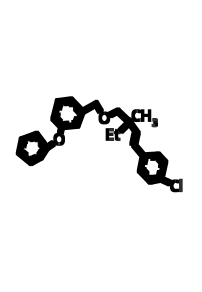 CCC(C)(C=Cc1ccc(Cl)cc1)COCc1cccc(Oc2ccccc2)c1